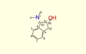 CN(C)[C@H]1c2ccccc2C[C@H]1O